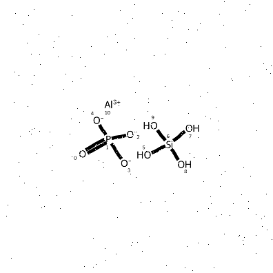 O=P([O-])([O-])[O-].O[Si](O)(O)O.[Al+3]